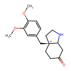 COc1ccc(C[C@@]23CCNC2CC(=O)CC3)cc1OC